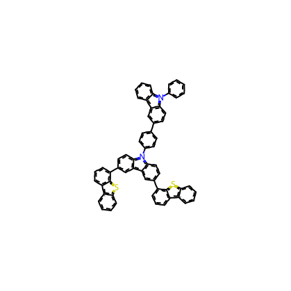 c1ccc(-n2c3ccccc3c3cc(-c4ccc(-n5c6ccc(-c7cccc8c7sc7ccccc78)cc6c6cc(-c7cccc8c7sc7ccccc78)ccc65)cc4)ccc32)cc1